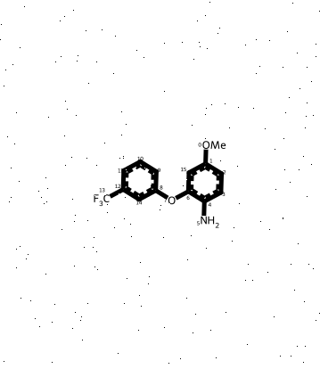 COc1ccc(N)c(Oc2cccc(C(F)(F)F)c2)c1